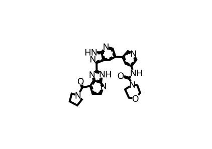 O=C(Nc1cncc(-c2cnc3[nH]nc(-c4nc5c(C(=O)N6CCCC6)ccnc5[nH]4)c3c2)c1)N1CCOCC1